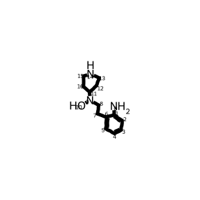 Nc1ccccc1CCN(O)C1CCNCC1